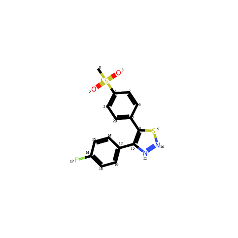 CS(=O)(=O)c1ccc(-c2snnc2-c2ccc(F)cc2)cc1